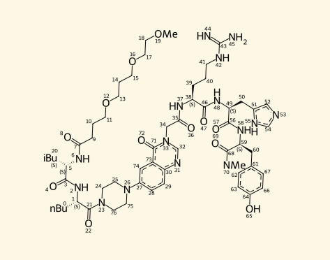 CCCC[C@H](NC(=O)[C@@H](NC(=O)CCCOCCCOCCOC)[C@@H](C)CC)C(=O)N1CCN(c2ccc3ncn(CC(=O)N[C@@H](CCCNC(=N)N)C(=O)N[C@@H](Cc4cnc[nH]4)C(=O)N[C@@H](Cc4ccc(O)cc4)C(=O)NC)c(=O)c3c2)CC1